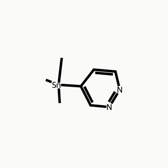 [CH3][Sn]([CH3])([CH3])[c]1ccnnc1